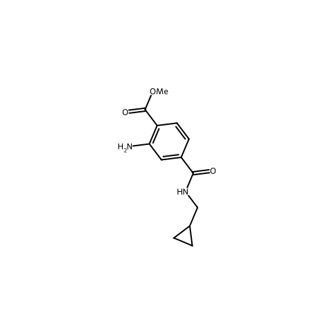 COC(=O)c1ccc(C(=O)NCC2CC2)cc1N